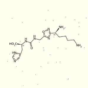 NCCCC[C@H](N)c1noc(CNC(=O)N[C@@H](Cc2cnc[nH]2)C(=O)O)n1